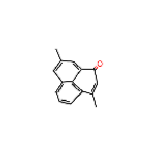 CC1=CC(=O)c2cc(C)cc3cccc1c23